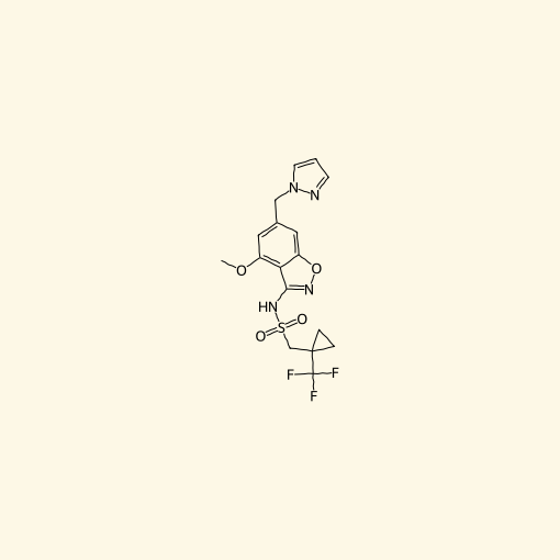 COc1cc(Cn2cccn2)cc2onc(NS(=O)(=O)CC3(C(F)(F)F)CC3)c12